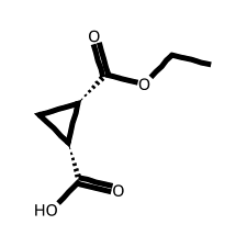 CCOC(=O)[C@H]1C[C@H]1C(=O)O